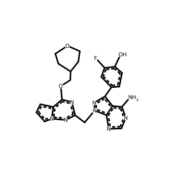 Nc1ncnc2c1c(-c1ccc(O)c(F)c1)nn2Cc1nc(OCC2CCOCC2)c2cccn2n1